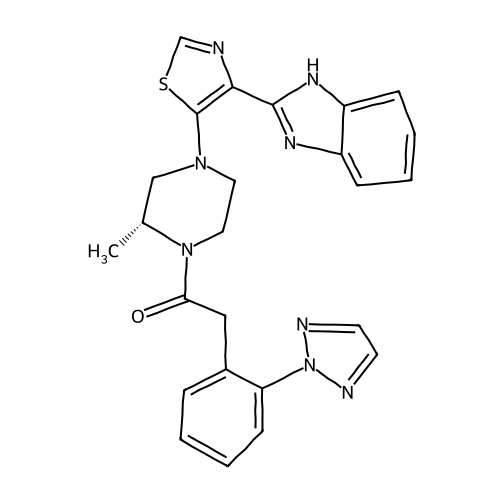 C[C@@H]1CN(c2scnc2-c2nc3ccccc3[nH]2)CCN1C(=O)Cc1ccccc1-n1nccn1